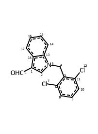 O=Cc1cn(Cc2c(Cl)cccc2Cl)c2ccccc12